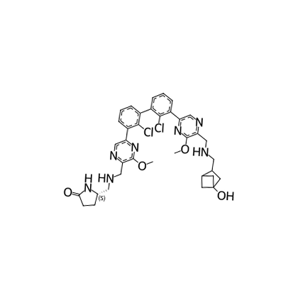 COc1nc(-c2cccc(-c3cccc(-c4cnc(CNC[C@@H]5CCC(=O)N5)c(OC)n4)c3Cl)c2Cl)cnc1CNCC1CC2(O)CC1C2